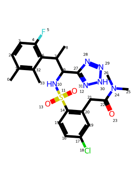 Cc1ccc(F)c(C(C)C(NS(=O)(=O)c2ccc(Cl)cc2CC(=O)N(C)C)c2nn[nH]n2)c1C